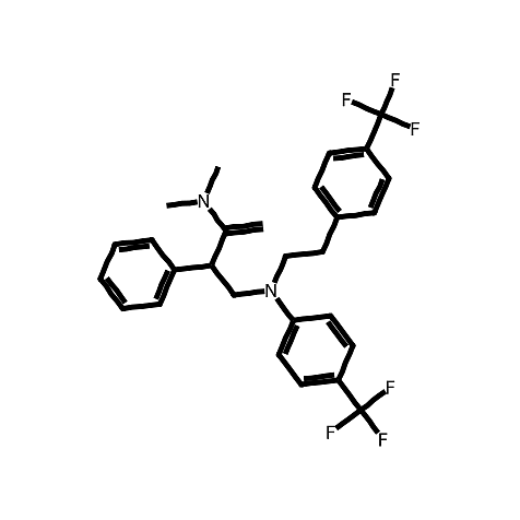 C=C(C(CN(CCc1ccc(C(F)(F)F)cc1)c1ccc(C(F)(F)F)cc1)c1ccccc1)N(C)C